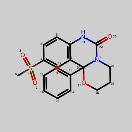 CS(=O)(=O)c1ccc2c(c1)C1(c3ccccc3)OCCCN1C(=O)N2